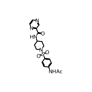 CC(=O)Nc1ccc(S(=O)(=O)N2CCC(NC(=O)c3cnccn3)CC2)cc1